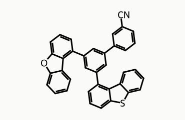 N#Cc1cccc(-c2cc(-c3cccc4oc5ccccc5c34)cc(-c3cccc4sc5ccccc5c34)c2)c1